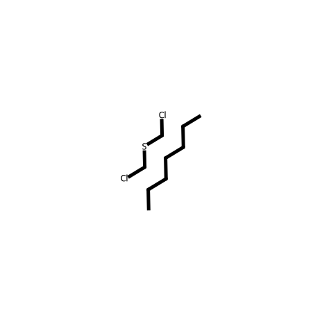 CCCCCCC.ClCSCCl